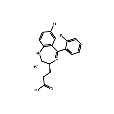 O=C(O)CC[C@@H]1N=C(c2ccccc2F)c2cc(Cl)ccc2N[C@H]1S